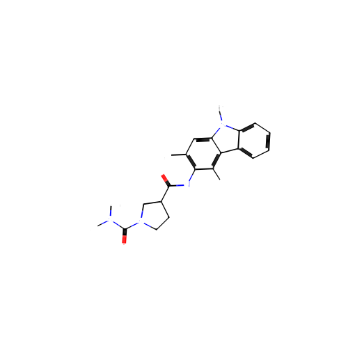 Cc1cc2c(c(C)c1NC(=O)C1CCN(C(=O)N(C)C)C1)c1ccccc1n2C(C)C